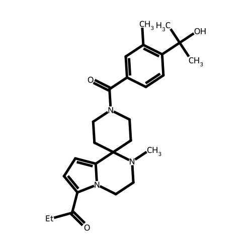 CCC(=O)c1ccc2n1CCN(C)C21CCN(C(=O)c2ccc(C(C)(C)O)c(C)c2)CC1